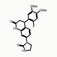 COc1cc(F)c(C2CC(=O)Nc3cc(N4CCNC4=O)ccc32)cc1OC